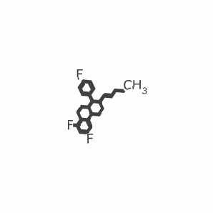 CCCC=CC1CCC2c3cc(F)cc(F)c3CCC2C1c1ccc(F)cc1